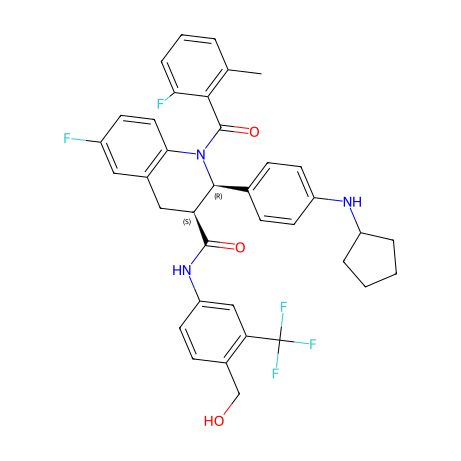 Cc1cccc(F)c1C(=O)N1c2ccc(F)cc2C[C@H](C(=O)Nc2ccc(CO)c(C(F)(F)F)c2)[C@@H]1c1ccc(NC2CCCC2)cc1